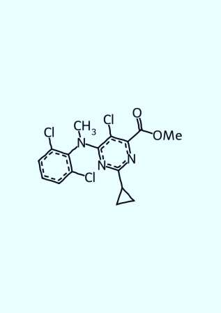 COC(=O)c1nc(C2CC2)nc(N(C)c2c(Cl)cccc2Cl)c1Cl